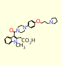 Cn1c(CC(=O)O)c(C(=O)N2CCN(c3ccc(OCCCN4CCCC4)cc3)CC2)c2ccccc21